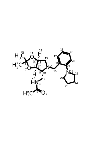 CC(=O)NC[C@@H]1[C@H]2OC(C)(C)O[C@H]2CN1Cc1ccccc1N1CCCC1